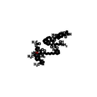 CC(=O)O[C@@H]1C[C@@H](C(=O)N[C@@H](C)c2ccc(-c3scnc3C)cc2)N(C(=O)[C@@H](NC(=O)CCCCCc2cccc(OC[C@H](CCC(N)O)NC(O)[C@@H]3Cc4cccc5c4N3C(=O)[C@@H](NC(=O)c3cc4cc(C(=O)P(=O)(O)O)ccc4[nH]3)CC5)c2F)C(C)(C)C)C1